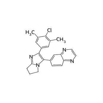 Cc1cc(-c2nc3n(c2-c2ccc4nccnc4c2)CCC3)cc(C)c1Cl